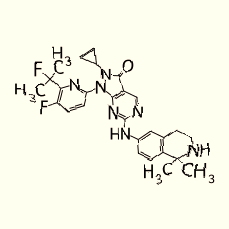 CC(C)(F)c1nc(-n2c3nc(Nc4ccc5c(c4)CCNC5(C)C)ncc3c(=O)n2C2CC2)ccc1F